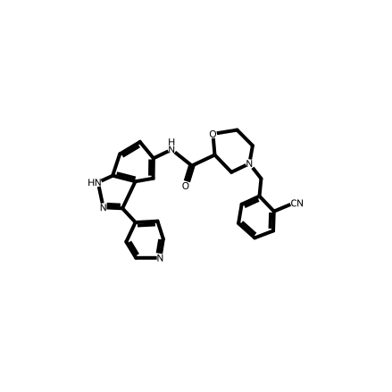 N#Cc1ccccc1CN1CCOC(C(=O)Nc2ccc3[nH]nc(-c4ccncc4)c3c2)C1